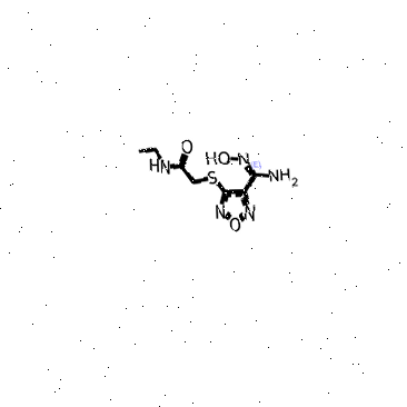 CCNC(=O)CSc1nonc1/C(N)=N\O